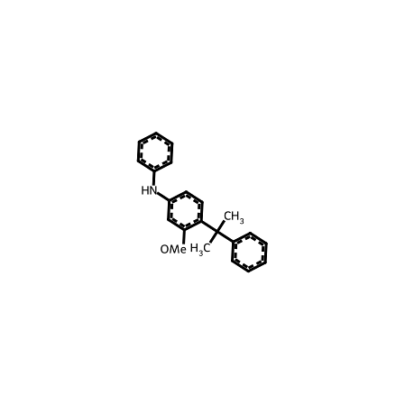 COc1cc(Nc2ccccc2)ccc1C(C)(C)c1ccccc1